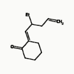 C=CCC(C=C1CCCCC1=O)CC